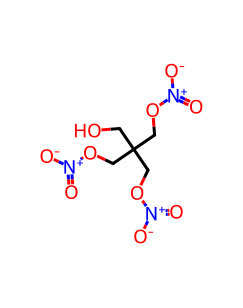 O=[N+]([O-])OCC(CO)(CO[N+](=O)[O-])CO[N+](=O)[O-]